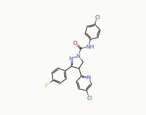 O=C(Nc1ccc(Cl)cc1)N1CC(c2ccc(Cl)cn2)C(c2ccc(F)cc2)=N1